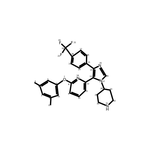 Cc1cc(C)cc(Oc2cccc(-c3c(-c4ccc(C(F)(F)F)cc4)ncn3C3CCNCC3)n2)c1